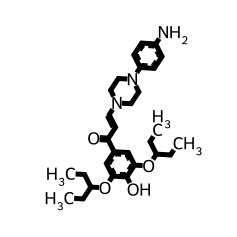 CCC(CC)Oc1cc(C(=O)C=CN2CCN(c3ccc(N)cc3)CC2)cc(OC(CC)CC)c1O